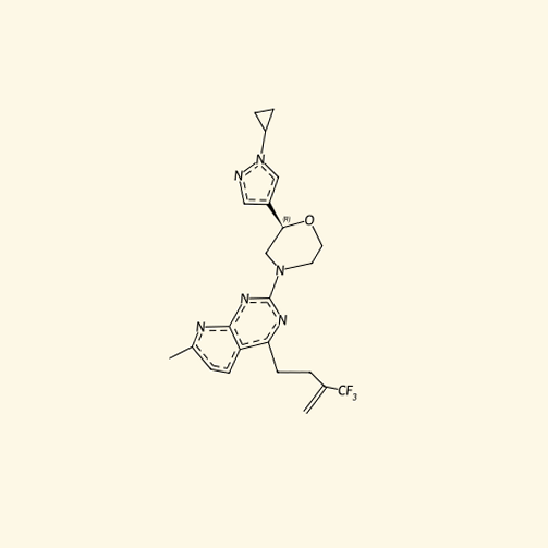 C=C(CCc1nc(N2CCO[C@H](c3cnn(C4CC4)c3)C2)nc2nc(C)ccc12)C(F)(F)F